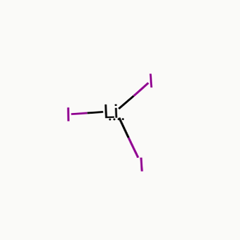 [I][Li]([I])[I]